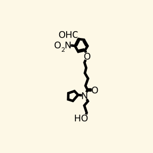 O=Cc1ccc(OCCCCCC(=O)N(CCCO)C2CCCC2)cc1[N+](=O)[O-]